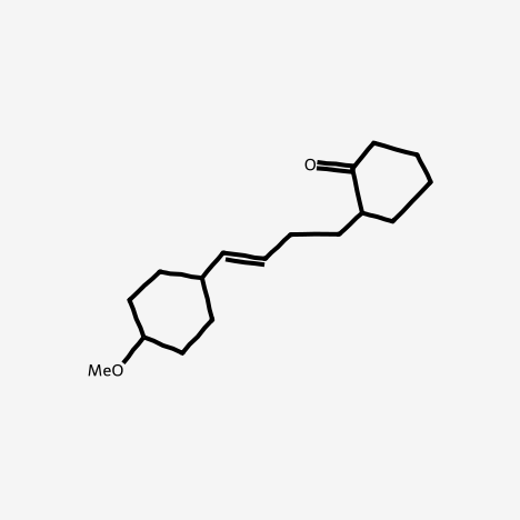 COC1CCC(C=CCCC2CCCCC2=O)CC1